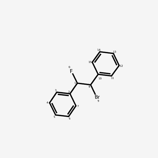 FC(c1ccccc1)C(Br)c1ccccc1